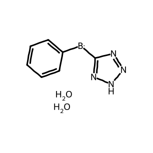 O.O.[B](c1ccccc1)c1nn[nH]n1